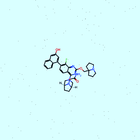 NC(=O)CN1[C@@H]2CC[C@H]1CN(c1nc(OCC34CCCN3CCC4)nc3c(F)c(-c4cc(O)cc5ccccc45)ccc13)C2